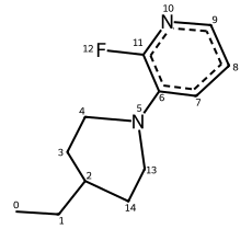 CCC1CCN(c2cccnc2F)CC1